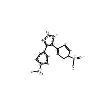 O=[N+]([O-])c1ccc(-c2n[nH]nc2C2=CCC([N+](=O)[O-])C=C2)cc1